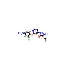 CCCC(=N)C(=O)Nc1cc(Oc2ccc(N)cc2Cl)ncn1